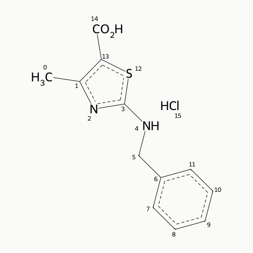 Cc1nc(NCc2ccccc2)sc1C(=O)O.Cl